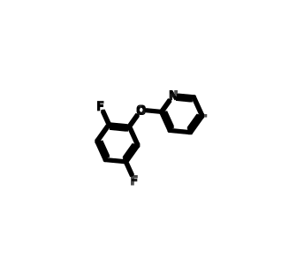 Fc1ccc(F)c(Oc2cc[c]cn2)c1